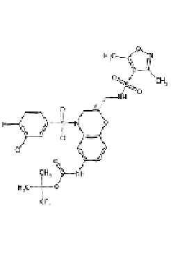 Cc1noc(C)c1S(=O)(=O)NC[C@H]1CN(S(=O)(=O)c2ccc(F)c(Cl)c2)c2cc(NC(=O)OC(C)(C)C(F)(F)F)ccc2O1